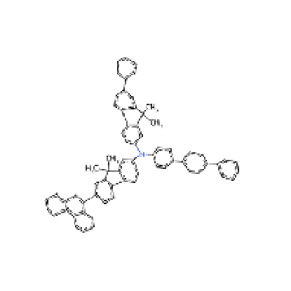 CC1(C)c2cc(-c3ccccc3)ccc2-c2ccc(N(c3ccc(-c4ccc(-c5ccccc5)cc4)cc3)c3ccc4c(c3)C(C)(C)c3cc(-c5cc6ccccc6c6ccccc56)ccc3-4)cc21